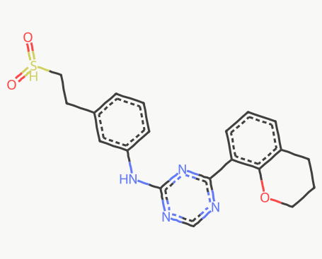 O=[SH](=O)CCc1cccc(Nc2ncnc(-c3cccc4c3OCCC4)n2)c1